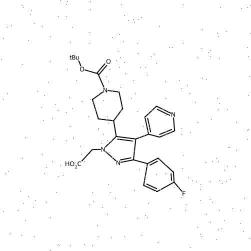 CC(C)(C)OC(=O)N1CCC(c2c(-c3ccncc3)c(-c3ccc(F)cc3)nn2CC(=O)O)CC1